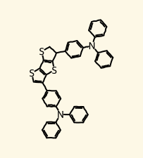 c1ccc(N(c2ccccc2)c2ccc(-c3csc4c5c(sc34)C(c3ccc(N(c4ccccc4)c4ccccc4)cc3)CS5)cc2)cc1